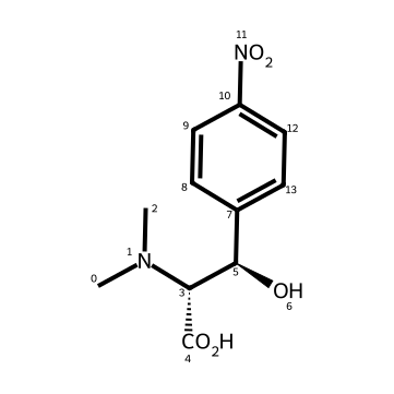 CN(C)[C@@H](C(=O)O)[C@H](O)c1ccc([N+](=O)[O-])cc1